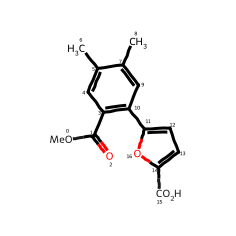 COC(=O)c1cc(C)c(C)cc1-c1ccc(C(=O)O)o1